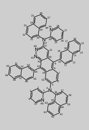 c1ccc(N(c2ccc3c(-c4ccc5ccccc5c4)c4cc(N(c5ccccn5)c5cccc6ccccc56)nnc4c(-c4ccc5ccccc5c4)c3c2)c2cccc3ccccc23)nc1